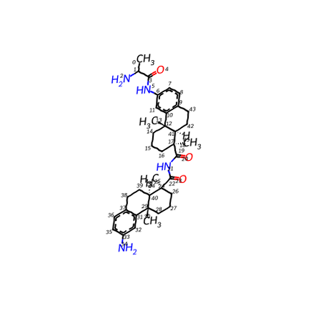 CC(N)C(=O)Nc1ccc2c(c1)[C@@]1(C)CCC[C@](C)(C(=O)NC(=O)[C@@]3(C)CCC[C@]4(C)c5cc(N)ccc5CC[C@@H]34)[C@@H]1CC2